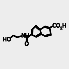 O=C(O)c1ccc2cc(C(=O)NCCO)ccc2c1